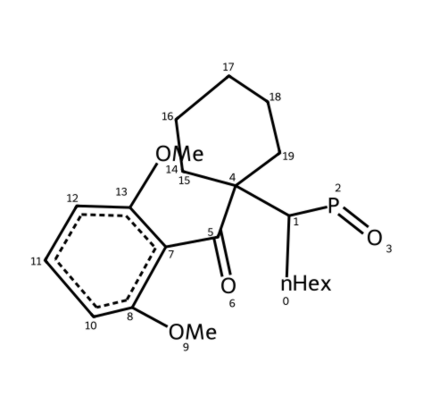 CCCCCCC(P=O)C1(C(=O)c2c(OC)cccc2OC)CCCCC1